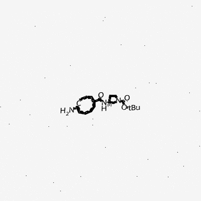 CC(C)(C)OC(=O)N1CC[C@@H](NC(=O)c2ccccc(N)cccc2)C1